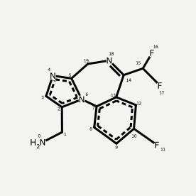 NCc1cnc2n1-c1ccc(F)cc1C(C(F)F)=NC2